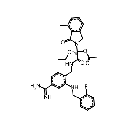 CCO[C@](OC(C)=O)(C(=O)NCc1ccc(C(=N)N)cc1NCc1ccccc1F)N1Cc2cccc(C)c2C1=O